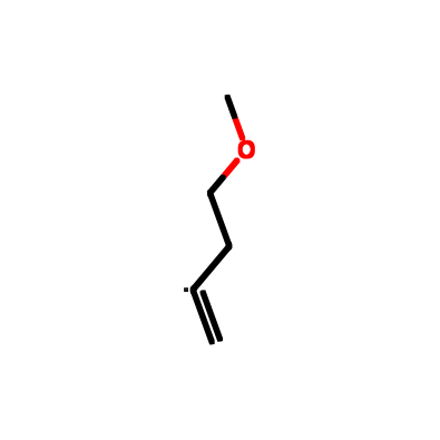 C=[C]CCOC